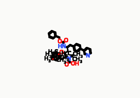 CC(C)(C)N(C(=O)O)[C@@H](Cc1ccccc1)[C@H](C[C@H](Cc1ccc(-c2cccnc2)cc1)NC(=O)OCc1ccccc1)O[Si](C)(C)C(C)(C)C